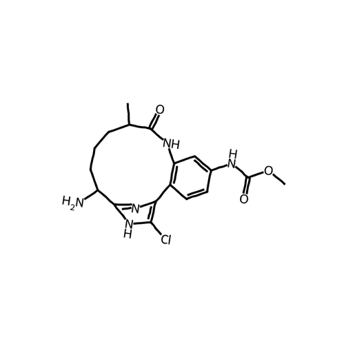 COC(=O)Nc1ccc2c(c1)NC(=O)C(C)CCCC(N)c1nc-2c(Cl)[nH]1